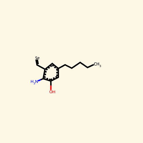 CCCCCc1cc(O)c(N)c(C=[Se])c1